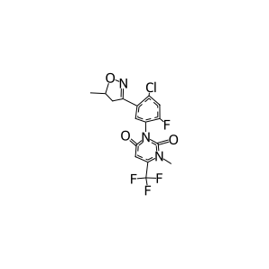 CC1CC(c2cc(-n3c(=O)cc(C(F)(F)F)n(C)c3=O)c(F)cc2Cl)=NO1